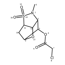 CN1C2C(OC(=O)CCl)C3CC(C2O3)S1(=O)=O